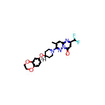 [2H]C1(Oc2ccc3c(c2)OCCO3)CCN(c2nn3c(=O)cc(C(F)F)nc3cc2C)CC1